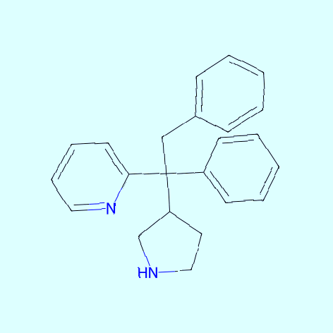 c1ccc(CC(c2ccccc2)(c2ccccn2)C2CCNC2)cc1